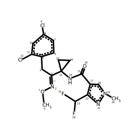 CO/N=C(\Cc1ccc(Cl)cc1Cl)C1(NC(=O)c2cn(C)nc2C(F)F)CC1